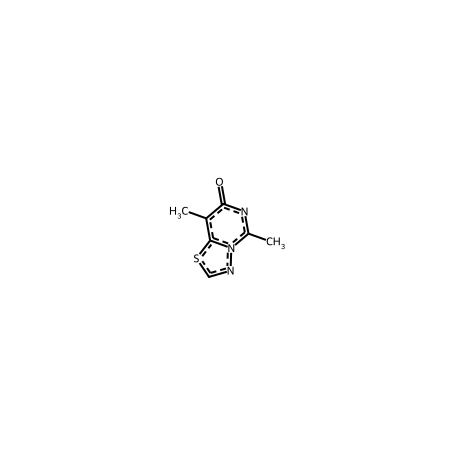 Cc1c(=O)nc(C)n2ncsc12